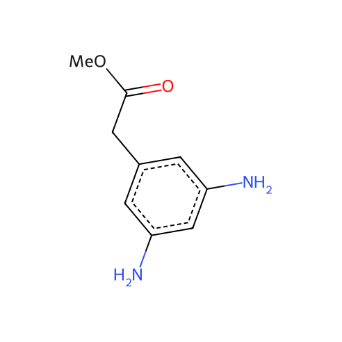 COC(=O)Cc1cc(N)cc(N)c1